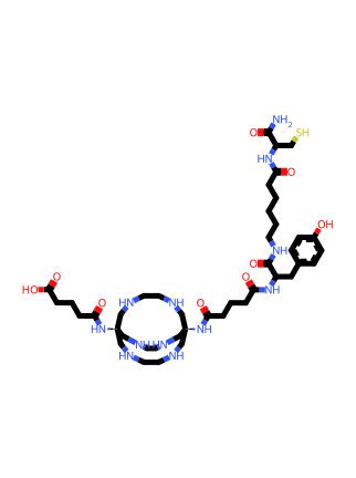 NC(=O)C(CS)NC(=O)CCCCCNC(=O)C(Cc1ccc(O)cc1)NC(=O)CCCC(=O)N[C@]12CNCCNC[C@](NC(=O)CCCC(=O)O)(CNCCNC1)CNCCNC2